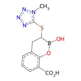 Cn1nnnc1SC1Cc2cccc(C(=O)O)c2OB1O